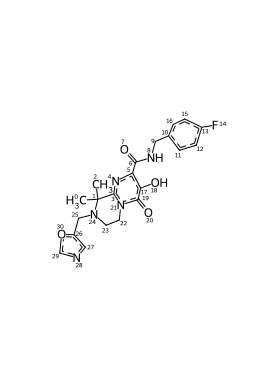 CC1(C)c2nc(C(=O)NCc3ccc(F)cc3)c(O)c(=O)n2CCN1Cc1cnco1